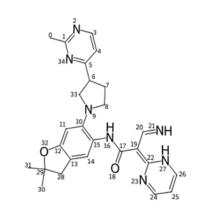 Cc1nccc(C2CCN(c3cc4c(cc3NC(=O)/C(C=N)=C3\N=CC=CN3)CC(C)(C)O4)C2)n1